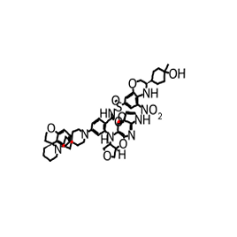 CC1(O)CCC([C@@H]2COc3cc(S(=O)(=O)NC(=O)c4ccc(N5CCC6(CC5)CC(N5CCCC[C@]57CCOc5ccccc57)C6)cc4N4c5cc6cc[nH]c6nc5O[C@@H]5COC[C@H]54)cc([N+](=O)[O-])c3N2)CC1